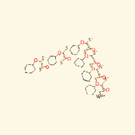 O=S(=S)=C([S-])OC1CCCCC1.O=S(=S)=C([S-])OC1CCCCC1.O=S(=S)=C([S-])OC1CCCCC1.O=S(=S)=C([S-])OC1CCCCC1.O=S(=S)=C([S-])OC1CCCCC1.O=S(=S)=C([S-])OC1CCCCC1.[W+6]